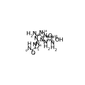 CNC(=O)c1ccn(-c2nc(N)c3ncn([C@@H]4O[C@H](CO)C(N)C4N)c3n2)n1